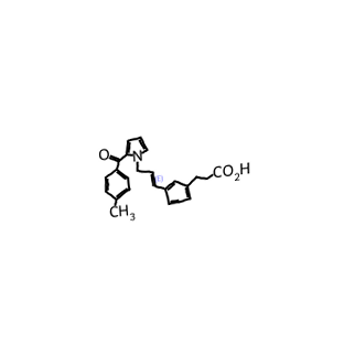 Cc1ccc(C(=O)c2cccn2C/C=C/c2cccc(CCC(=O)O)c2)cc1